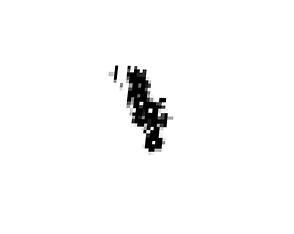 Cn1c(=O)c(-c2cc(F)c(N[S+]([O-])Cc3ccccc3)c3ccccc23)cc2cnc(N)nc21